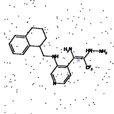 NN/C(=C(\N)c1ccncc1NCC1CCCc2ccccc21)C(F)(F)F